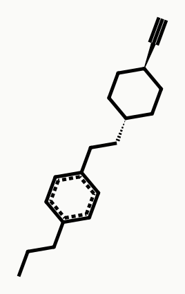 C#C[C@H]1CC[C@H](CCc2ccc(CCC)cc2)CC1